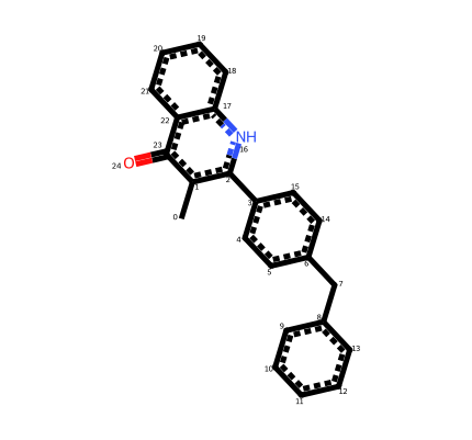 Cc1c(-c2ccc(Cc3ccccc3)cc2)[nH]c2ccccc2c1=O